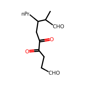 CCCC(CC(=O)C(=O)CCC=O)C(C)C=O